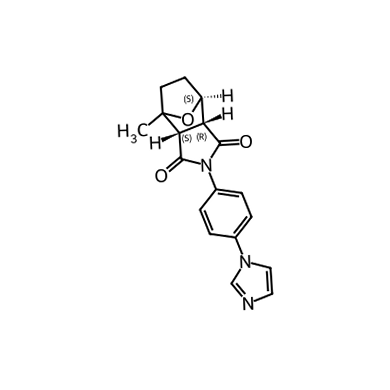 CC12CC[C@H](O1)[C@@H]1C(=O)N(c3ccc(-n4ccnc4)cc3)C(=O)[C@@H]12